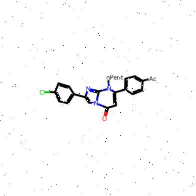 CCCCCn1c(-c2ccc(C(C)=O)cc2)cc(=O)n2cc(-c3ccc(Cl)cc3)nc12